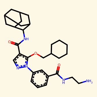 NCCNC(=O)c1cccc(-n2ncc(C(=O)NC3C4CC5CC(C4)CC3C5)c2OCC2CCCCC2)c1